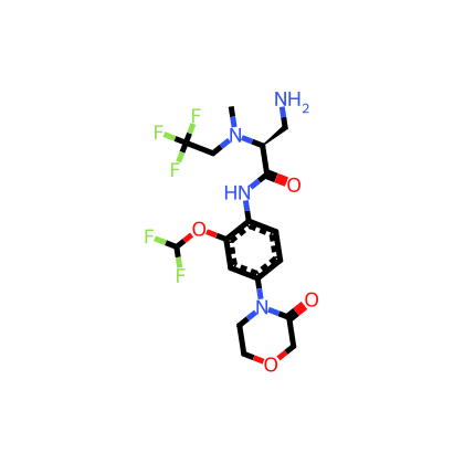 CN(CC(F)(F)F)[C@@H](CN)C(=O)Nc1ccc(N2CCOCC2=O)cc1OC(F)F